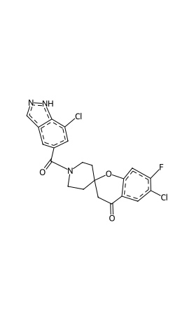 O=C1CC2(CCN(C(=O)c3cc(Cl)c4[nH]ncc4c3)CC2)Oc2cc(F)c(Cl)cc21